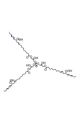 CC/C=C/C=C/C(C/C=C/CCCCCCCC(=O)OC[C@H](O)COP(=O)(OC[C@@H](O)COC(=O)CCCCCCC/C=C/CC(/C=C/C=C/CC)OO)OC[C@@H](O)COC(=O)CCCCCCC/C=C/CC(/C=C/C=C/CC)OO)OO